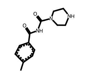 Cc1ccc(C(=O)NC(=O)N2CCNCC2)cc1